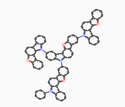 c1ccc(-n2c3ccccc3c3c4oc5ccc(-n6c7ccc(-n8c9ccccc9c9ccc%10oc%11ccccc%11c%10c98)cc7c7c8oc9ccc(-n%10c%11ccccc%11c%11c%12oc%13ccccc%13c%12ccc%11%10)cc9c8ccc76)cc5c4ccc32)cc1